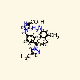 CNCc1c(C)cc(N)cc1C.Cc1cnn(Cc2ccc(Cn3cnc(C(=O)O)c3)cc2)c1